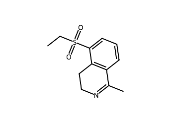 CCS(=O)(=O)c1cccc2c1CCN=C2C